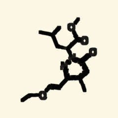 CCO/C=C/c1nn([C@@H](CC(C)C)C(=O)OC)c(=O)cc1C